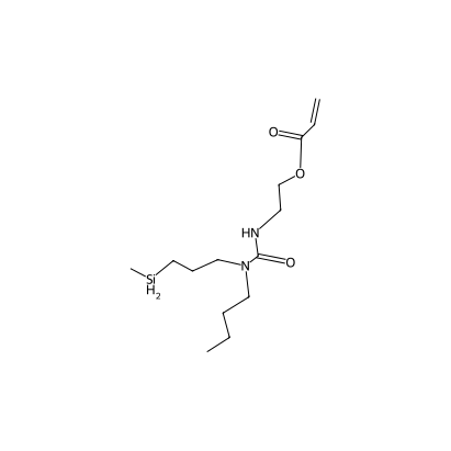 C=CC(=O)OCCNC(=O)N(CCCC)CCC[SiH2]C